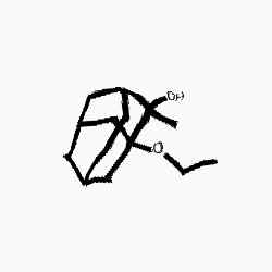 CCOC12CC3CC(CC(C3)C1(C)O)C2